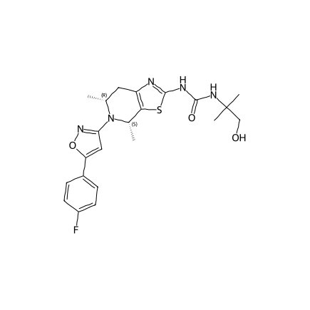 C[C@@H]1Cc2nc(NC(=O)NC(C)(C)CO)sc2[C@H](C)N1c1cc(-c2ccc(F)cc2)on1